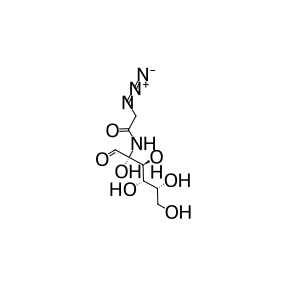 [N-]=[N+]=NCC(=O)N[C@](O)(C=O)[C@@H](O)[C@@H](O)[C@H](O)CO